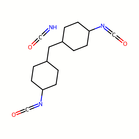 N=C=O.O=C=NC1CCC(CC2CCC(N=C=O)CC2)CC1